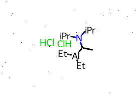 C[CH2][Al]([CH2]C)[CH](C)N(C(C)C)C(C)C.Cl.Cl